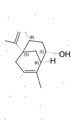 C=C(C)[C@@]12CC=C(C)[C@@H](C1)[C@@H](O)C[C@H]2C